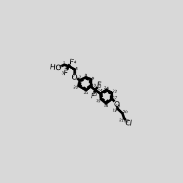 OCC(F)(F)COc1ccc(C(F)(F)c2ccc(OCCCCl)cc2)cc1